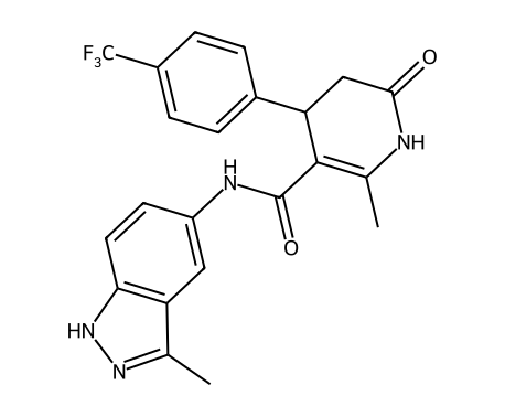 CC1=C(C(=O)Nc2ccc3[nH]nc(C)c3c2)C(c2ccc(C(F)(F)F)cc2)CC(=O)N1